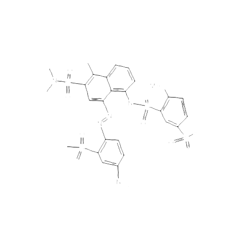 COc1ccc(S(=O)(=O)F)cc1S(=O)(=O)Nc1cccc2c(O)c(S(=O)(=O)N(C)C)cc(N=Nc3ccc([N+](=O)[O-])cc3S(C)(=O)=O)c12